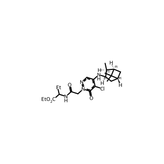 CCOC(=O)C(CC)NC(=O)Cn1ncc(N[C@@H]2C[C@H]3C[C@H]([C@@H]2C)C3(C)C)c(Cl)c1=O